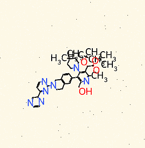 Cc1nc(CO)c(-c2ccc3c(c2)CCN(c2nccc(-c4cnccn4)n2)C3)c(N2CCC(C)(C)CC2)c1C(OC(C)(C)C)C(=O)OC(C)C